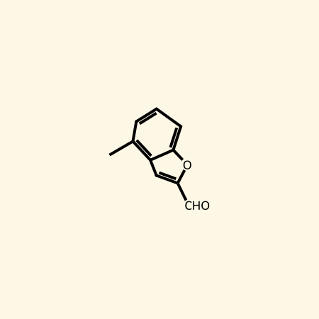 Cc1cccc2oc(C=O)cc12